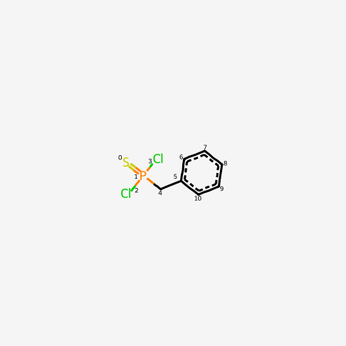 S=P(Cl)(Cl)Cc1ccccc1